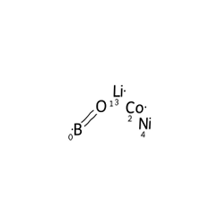 [B]=O.[Co].[Li].[Ni]